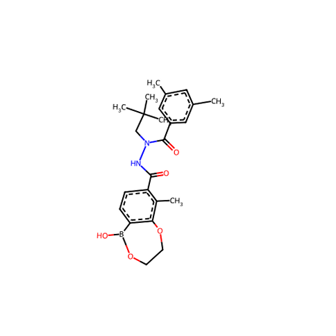 Cc1cc(C)cc(C(=O)N(CC(C)(C)C)NC(=O)c2ccc3c(c2C)OCCOB3O)c1